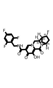 O=C(NCc1c(F)cc(F)cc1F)c1cn2c(c(O)c1=O)C(=O)N1[C@@H]3C[C@@H]([C@H](F)C3)[C@@H]1C2